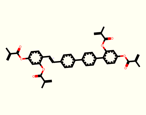 C=C(C)C(=O)Oc1ccc(/C=C/c2ccc(-c3ccc(-c4ccc(OC(=O)C(=C)C)cc4OC(=O)C(=C)C)cc3)cc2)c(OC(=O)C(=C)C)c1